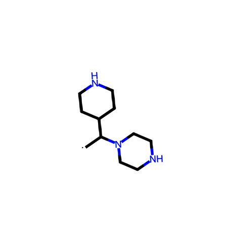 [CH2]C(C1CCNCC1)N1CCNCC1